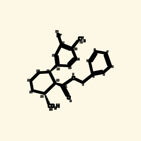 O=C(OCc1ccccc1)[C@@H]1[C@@H](c2ccc(C(F)(F)F)c(Br)c2)CCC[C@H]1C(=O)O